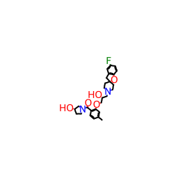 Cc1ccc(C(=O)N2CC[C@H](O)C2)c(OC[C@H](O)CN2CCC3(CC2)Cc2cc(F)ccc2O3)c1